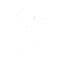 Cc1cc2cccc(-c3ccc(C4C=C(c5ccccc5)NC(c5ccccc5)N4)cc3)c2cc1C